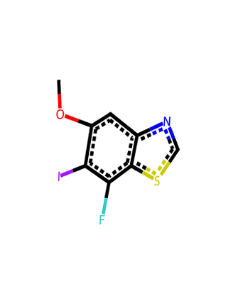 COc1cc2ncsc2c(F)c1I